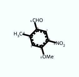 COc1cc(C)c(C=O)cc1[N+](=O)[O-]